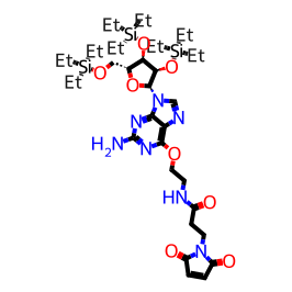 CC[Si](CC)(CC)OC[C@H]1O[C@@H](n2cnc3c(OCCNC(=O)CCN4C(=O)C=CC4=O)nc(N)nc32)[C@H](O[Si](CC)(CC)CC)[C@@H]1O[Si](CC)(CC)CC